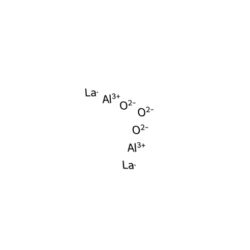 [Al+3].[Al+3].[La].[La].[O-2].[O-2].[O-2]